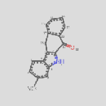 N#Cc1ccc2c3c([nH]c2c1)C(=O)c1ccccc1C3